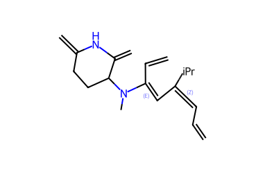 C=C/C=C(\C=C(/C=C)N(C)C1CCC(=C)NC1=C)C(C)C